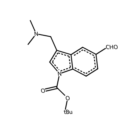 CN(C)Cc1cn(C(=O)OC(C)(C)C)c2ccc(C=O)cc12